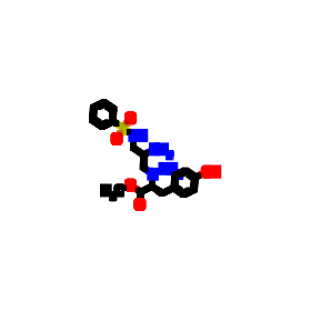 COC(=O)[C@H](Cc1ccc(O)cc1)N(N)/C=C(\N)CNS(=O)(=O)c1ccccc1